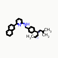 C=C(C)/C=C(\C=C/C)c1ccc(CNc2cccc(-c3ccc4ccccc4c3)n2)cc1